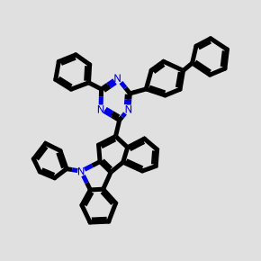 c1ccc(-c2ccc(-c3nc(-c4ccccc4)nc(-c4cc5c(c6ccccc46)c4ccccc4n5-c4ccccc4)n3)cc2)cc1